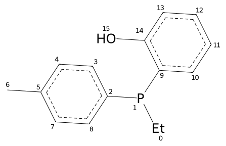 CCP(c1ccc(C)cc1)c1ccccc1O